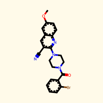 COc1ccc2nc(N3CCN(C(=O)c4ccccc4Br)CC3)c(C#N)cc2c1